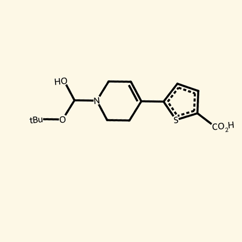 CC(C)(C)OC(O)N1CC=C(c2ccc(C(=O)O)s2)CC1